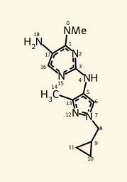 CNc1nc(Nc2cn(CC3CC3)nc2C)ncc1N